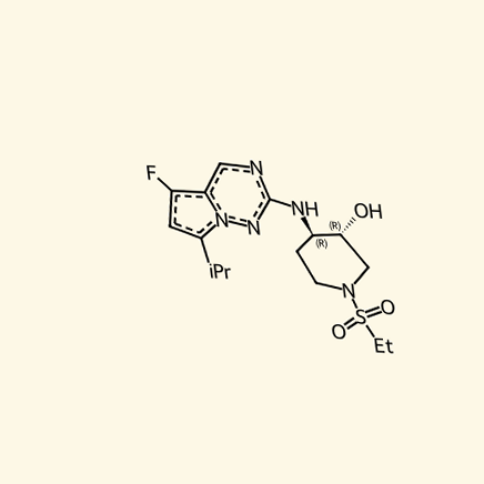 CCS(=O)(=O)N1CC[C@@H](Nc2ncc3c(F)cc(C(C)C)n3n2)[C@H](O)C1